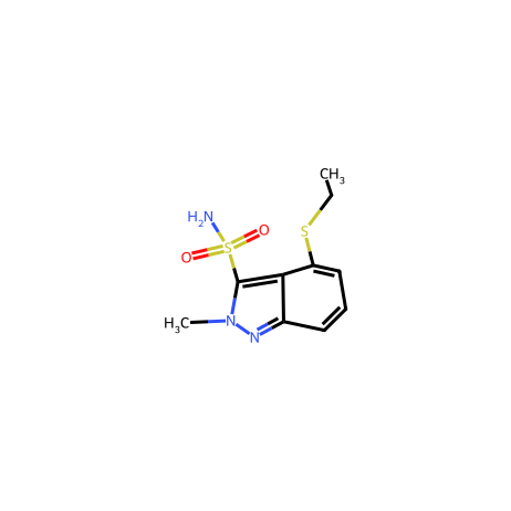 CCSc1cccc2nn(C)c(S(N)(=O)=O)c12